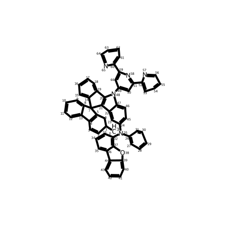 CC1C=CC2=C(C1)C1(c3ccccc32)c2ccccc2-c2c1c1cc(N(c3ccccc3)c3cccc4c3oc3ccccc34)ccc1n2-c1cc(-c2ccccn2)nc(-c2ccccn2)c1